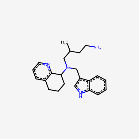 CC(CCN)CN(Cc1c[nH]c2ccccc12)C1CCCc2cccnc21